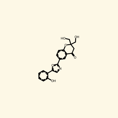 O=C1CC(CO)(CO)Oc2ccc(-c3ncc(-c4ccccc4O)o3)cc21